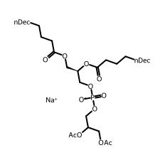 CCCCCCCCCCCCCC(=O)OC[C@H](COP(=O)([O-])OCC(COC(C)=O)OC(C)=O)OC(=O)CCCCCCCCCCCCC.[Na+]